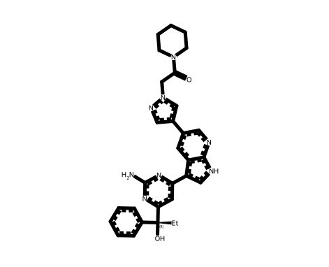 CC[C@@](O)(c1ccccc1)c1cc(-c2c[nH]c3ncc(-c4cnn(CC(=O)N5CCCCC5)c4)cc23)nc(N)n1